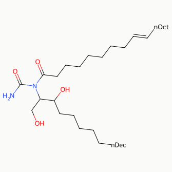 CCCCCCCCC=CCCCCCCCC(=O)N(C(N)=O)C(CO)C(O)CCCCCCCCCCCCCCC